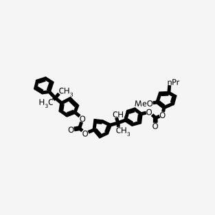 CCCc1ccc(OC(=O)Oc2ccc(C(C)(C)c3ccc(OC(=O)Oc4ccc(C(C)(C)c5ccccc5)cc4)cc3)cc2)c(OC)c1